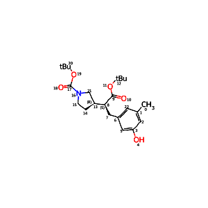 Cc1cc(O)cc(C[C@H](C(=O)OC(C)(C)C)[C@H]2CCN(C(=O)OC(C)(C)C)C2)c1